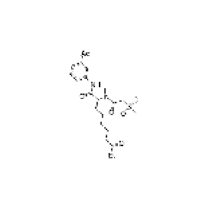 CCC(=O)CCCCC[C@H](NC(=O)CS(C)(=O)=O)C(=O)Nc1cccc(C(C)=O)c1